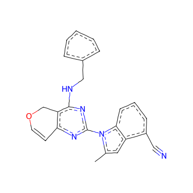 Cc1cc2c(C#N)cccc2n1-c1nc2c(c(NCc3ccccc3)n1)COC=C2